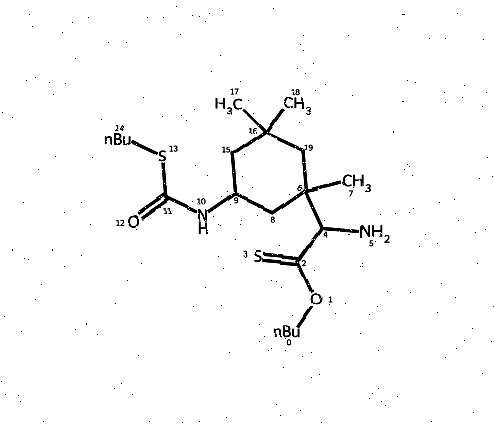 CCCCOC(=S)C(N)C1(C)CC(NC(=O)SCCCC)CC(C)(C)C1